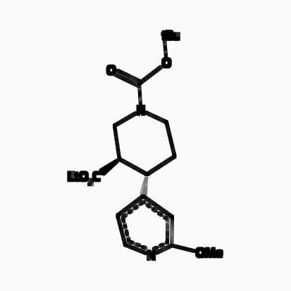 CCOC(=O)[C@H]1CN(C(=O)OC(C)(C)C)CC[C@@H]1c1ccnc(OC)c1